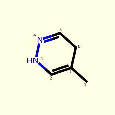 CC1=CNN=CC1